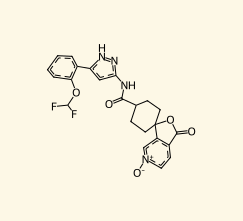 O=C1OC2(CCC(C(=O)Nc3cc(-c4ccccc4OC(F)F)[nH]n3)CC2)c2c[n+]([O-])ccc21